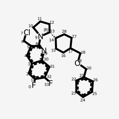 Fc1cc2cc(CCl)c(N3CCC[C@@H]3C3CCC(COCc4ccccc4)CC3)nc2cc1F